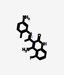 C/C(=N\c1cc(N)ccc1C)c1c(N)c2c(F)cccc2[nH]c1=O